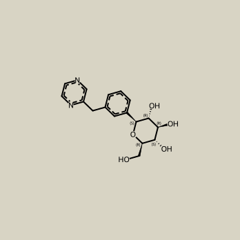 OC[C@H]1O[C@@H](c2cccc(Cc3cnccn3)c2)[C@H](O)[C@@H](O)[C@@H]1O